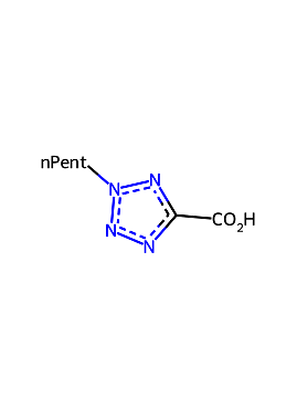 CCCCCn1nnc(C(=O)O)n1